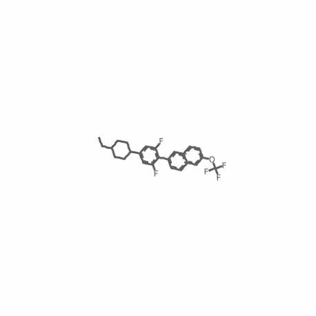 CCC1CCC(c2cc(F)c(-c3ccc4cc(OC(F)(F)F)ccc4c3)c(F)c2)CC1